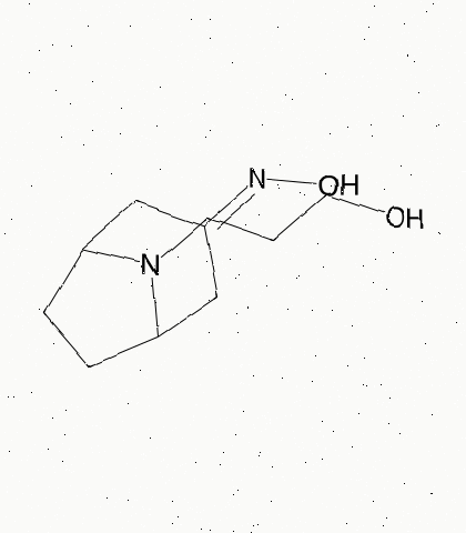 OCCCN1C2CCC1CC(=NO)C2